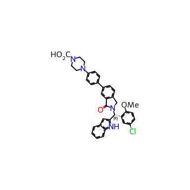 COc1ccc(Cl)cc1[C@H](c1cc2ccccc2[nH]1)N1Cc2ccc(-c3ccc(N4CCN(C(=O)O)CC4)cc3)cc2C1=O